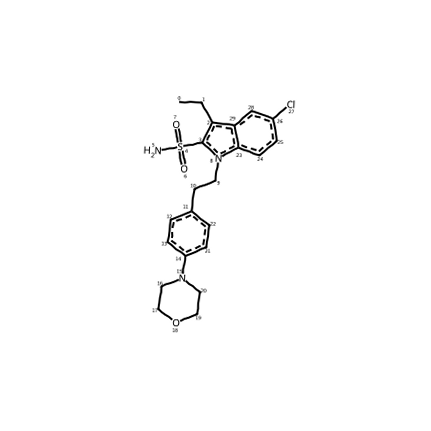 CCc1c(S(N)(=O)=O)n(CCc2ccc(N3CCOCC3)cc2)c2ccc(Cl)cc12